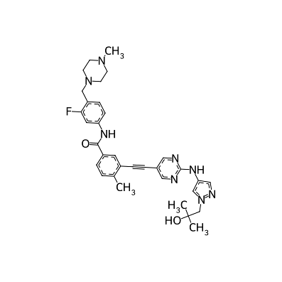 Cc1ccc(C(=O)Nc2ccc(CN3CCN(C)CC3)c(F)c2)cc1C#Cc1cnc(Nc2cnn(CC(C)(C)O)c2)nc1